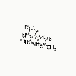 Cc1ccc(-c2ccc(F)c3ncnc(N)c23)cc1F